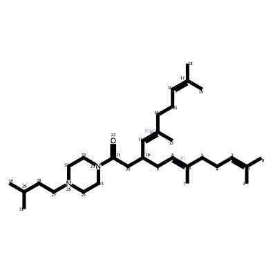 CC(C)=CCC/C(C)=C/CC(/C=C(\C)CCC=C(C)C)CC(=O)N1CCN(CCC(C)C)CC1